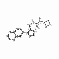 c1cnc2ncc(-c3ccn4nc(NC5CCC5)ncc34)cc2c1